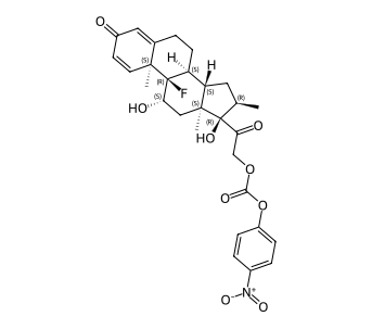 C[C@@H]1C[C@H]2[C@@H]3CCC4=CC(=O)C=C[C@]4(C)[C@@]3(F)[C@@H](O)C[C@]2(C)[C@@]1(O)C(=O)COC(=O)Oc1ccc([N+](=O)[O-])cc1